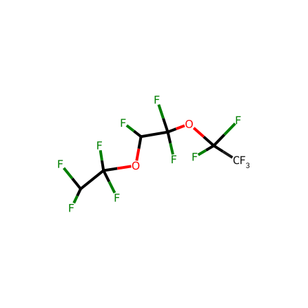 FC(F)C(F)(F)OC(F)C(F)(F)OC(F)(F)C(F)(F)F